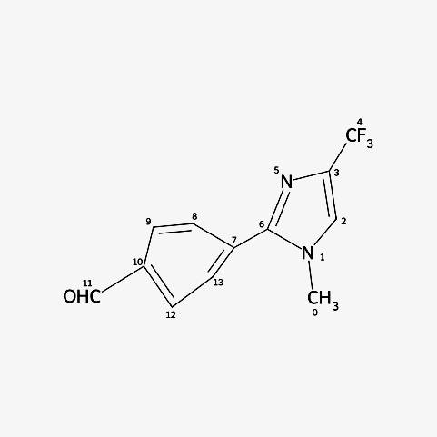 Cn1cc(C(F)(F)F)nc1-c1ccc(C=O)cc1